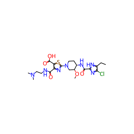 CCc1[nH]c(C(=O)N[C@@H]2CCN(c3nc(C(=O)NCCN(C)C)c(C(=O)O)s3)C[C@@H]2OC)nc1Cl